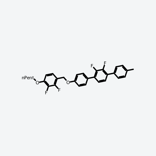 CCCCCOc1ccc(COc2ccc(-c3ccc(-c4ccc(C)cc4)c(F)c3F)cc2)c(F)c1F